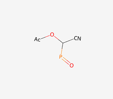 CC(=O)OC(C#N)P=O